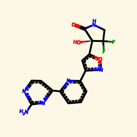 Nc1nccc(-c2cccc(-c3cc([C@@]4(O)C(=O)NCC4(F)F)on3)n2)n1